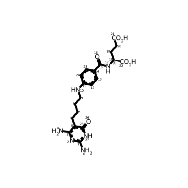 Nc1nc(N)c(CCCCNc2ccc(C(=O)N[C@@H](CCC(=O)O)C(=O)O)cc2)c(=O)[nH]1